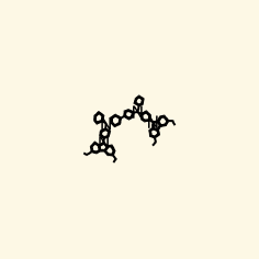 CCc1ccc2c(c1)c1cc(CC)ccc1n2-c1ccc(N(c2ccccc2)c2ccc(-c3ccc(N(c4ccccc4)c4ccc(-n5c6ccc(CC)cc6c6cc(CC)ccc65)cc4)cc3)cc2)cc1